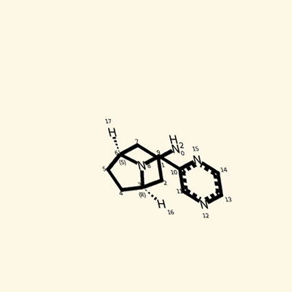 NC1C[C@H]2CC[C@@H](C1)N2Cc1cnccn1